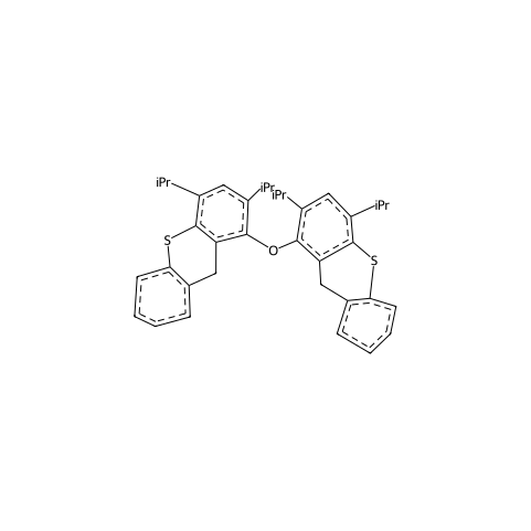 CC(C)c1cc(C(C)C)c2c(c1Oc1c(C(C)C)cc(C(C)C)c3c1Cc1ccccc1S3)Cc1ccccc1S2